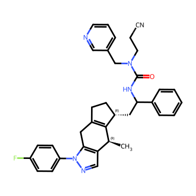 C[C@@H]1C2=C(CC[C@@H]2CC(NC(=O)N(CCC#N)Cc2cccnc2)c2ccccc2)Cc2c1cnn2-c1ccc(F)cc1